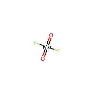 [O]=[Mo](=[O])([F])[F]